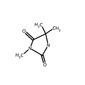 CN1C(=O)[N]C(C)(C)C1=O